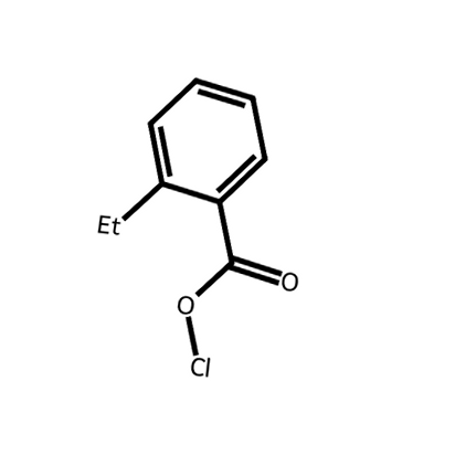 CCc1ccccc1C(=O)OCl